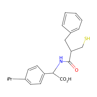 CC(C)c1ccc(C(NC(=O)C(CS)Cc2ccccc2)C(=O)O)cc1